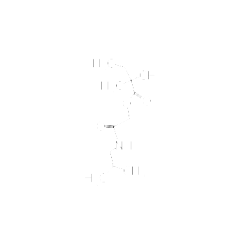 CCC(C)(C)C(=O)OCC(=O)NCC(C)C